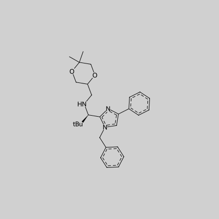 CC1(C)COC(CN[C@@H](c2nc(-c3ccccc3)cn2Cc2ccccc2)C(C)(C)C)CO1